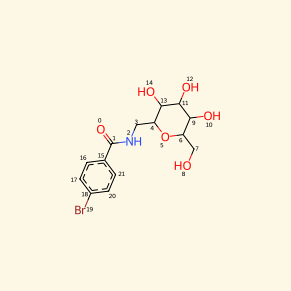 O=C(NCC1OC(CO)C(O)C(O)C1O)c1ccc(Br)cc1